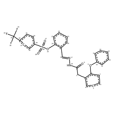 O=C(Cc1ccccc1Oc1ccccc1)NN=Cc1ccccc1OS(=O)(=O)c1ccc(C(F)(F)F)cc1